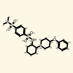 CN(C)S(=O)(=O)c1ccc(S(=O)(=O)NC2CCCCC2N2CCC(Oc3ccccc3)CC2)cc1